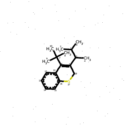 CC(C)C(C)C1=C(C(C)(C)C)c2ccccc2SC1